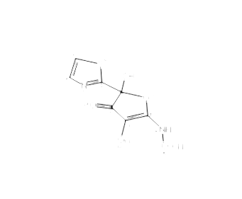 CC1(c2nccs2)OC(NC(=O)O)=C(O)C1=O